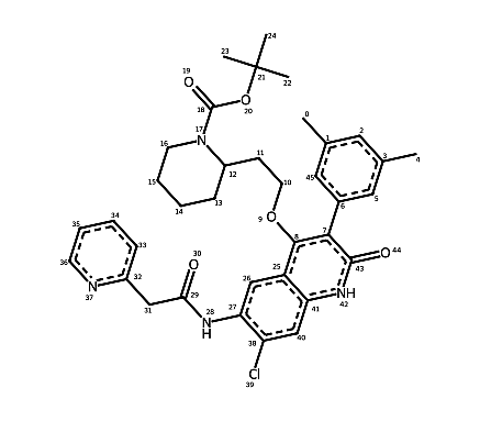 Cc1cc(C)cc(-c2c(OCCC3CCCCN3C(=O)OC(C)(C)C)c3cc(NC(=O)Cc4ccccn4)c(Cl)cc3[nH]c2=O)c1